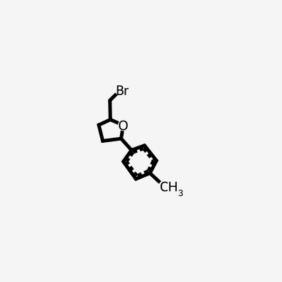 Cc1ccc(C2CCC(CBr)O2)cc1